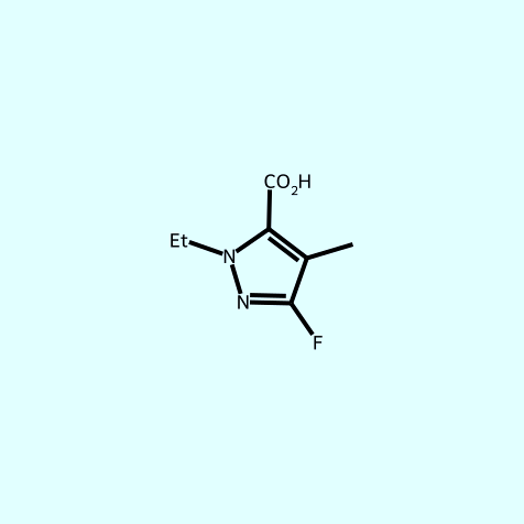 CCn1nc(F)c(C)c1C(=O)O